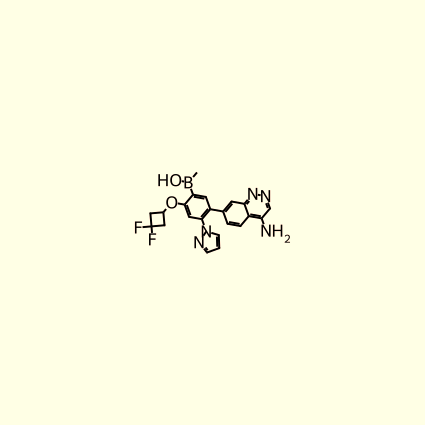 CB(O)c1cc(-c2ccc3c(N)cnnc3c2)c(-n2cccn2)cc1OC1CC(F)(F)C1